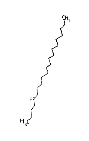 CCCCCCCCCCCCCCCCPCCCC